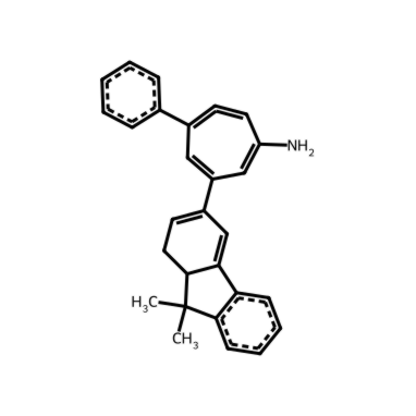 CC1(C)c2ccccc2C2=CC(C3=CC(c4ccccc4)=C=CC(N)=C3)=CCC21